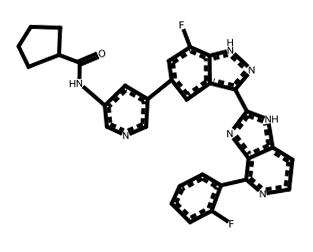 O=C(Nc1cncc(-c2cc(F)c3[nH]nc(-c4nc5c(-c6ccccc6F)nccc5[nH]4)c3c2)c1)C1CCCC1